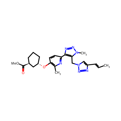 C/C=C/c1cn(Cc2c(-c3ccc(O[C@H]4CCC[C@H](C(=O)OC)C4)c(C)n3)nnn2C)nn1